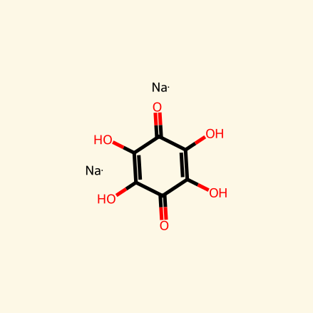 O=C1C(O)=C(O)C(=O)C(O)=C1O.[Na].[Na]